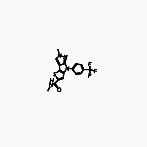 CNC(=O)c1cc2c(s1)c1cn(C)nc1n2-c1ccc(C(F)(F)F)cc1